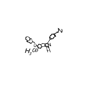 COc1cc2c(cc1OCC1CCOC1)Cc1c(-c3ccc(C#N)cc3)n[nH]c1-2